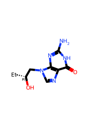 CC[C@@H](O)Cn1cnc2c(=O)[nH]c(N)nc21